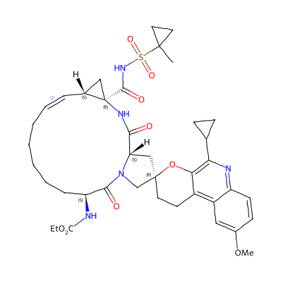 CCOC(=O)N[C@H]1CCCCC/C=C\[C@@H]2C[C@@]2(C(=O)NS(=O)(=O)C2(C)CC2)NC(=O)[C@@H]2C[C@]3(CCc4c(c(C5CC5)nc5ccc(OC)cc45)O3)CN2C1=O